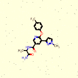 CC(NC(=O)c1cnc(Oc2ccc(C(F)(F)F)cc2)c(-c2ccn(C)n2)c1)C(N)=O